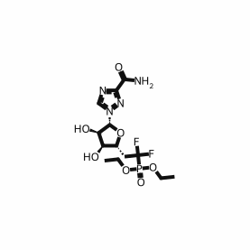 CCOP(=O)(OCC)C(F)(F)C[C@H]1O[C@@H](n2cnc(C(N)=O)n2)[C@H](O)[C@@H]1O